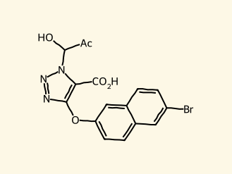 CC(=O)C(O)n1nnc(Oc2ccc3cc(Br)ccc3c2)c1C(=O)O